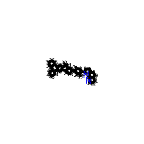 Cc1cc(-c2ccc3ccc4cccnc4c3n2)c(C)cc1-c1ccc2c(c1)C(C)(C)c1cc3c4ccccc4c4ccccc4c3cc1-2